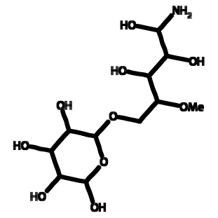 COC(COC1OC(O)C(O)C(O)C1O)C(O)C(O)C(N)O